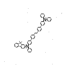 CC1(C)c2ccccc2-c2ccc(N(c3ccccc3)c3ccc(-c4ccc(/C=C/c5ccc(-c6ccc(N(c7ccccc7)c7ccccc7)cc6)cc5)cc4)cc3)cc21